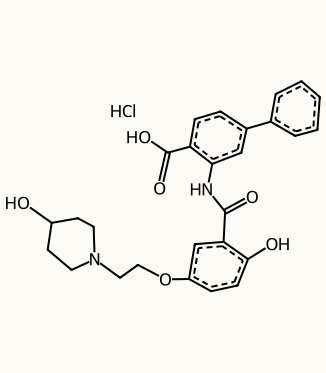 Cl.O=C(Nc1cc(-c2ccccc2)ccc1C(=O)O)c1cc(OCCN2CCC(O)CC2)ccc1O